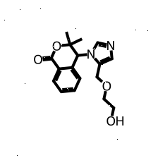 CC1(C)OC(=O)c2ccccc2C1n1cncc1COCCO